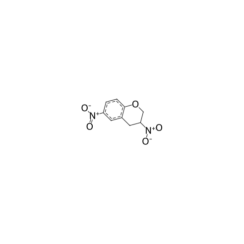 O=[N+]([O-])c1ccc2c(c1)CC([N+](=O)[O-])CO2